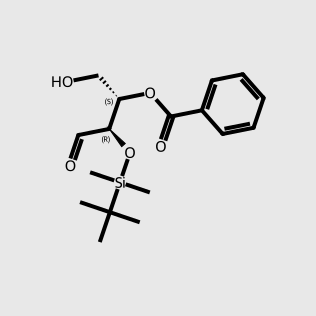 CC(C)(C)[Si](C)(C)O[C@@H](C=O)[C@H](CO)OC(=O)c1ccccc1